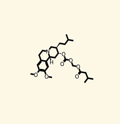 COc1cc2c(cc1OC)[C@H]1C[C@@H](OC(=O)OCOC(=O)CC(C)C)[C@H](CCC(C)C)CN1CC2